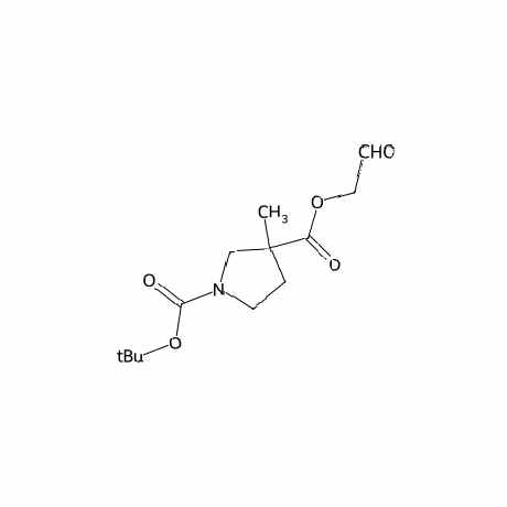 CC(C)(C)OC(=O)N1CCC(C)(C(=O)OCC=O)C1